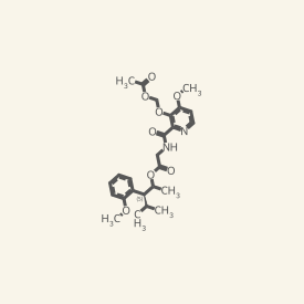 COc1ccccc1[C@H](C(C)C)C(C)OC(=O)CNC(=O)c1nccc(OC)c1OCOC(C)=O